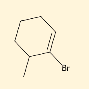 CC1CCCC=C1Br